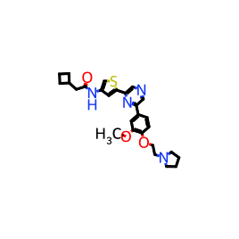 COc1cc(-c2cncc(-c3cc(NC(=O)CC4CCC4)cs3)n2)ccc1OCCN1CCCC1